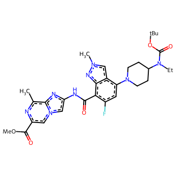 CCN(C(=O)OC(C)(C)C)C1CCN(c2cc(F)c(C(=O)Nc3cn4cc(C(=O)OC)nc(C)c4n3)c3nn(C)cc23)CC1